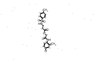 Cc1ccc(S(=O)(=O)NCCC(=O)OCC(=O)Nc2ccc(Cl)cc2C)cc1